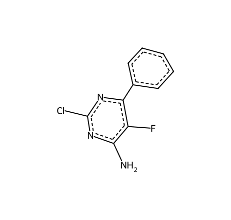 Nc1nc(Cl)nc(-c2ccccc2)c1F